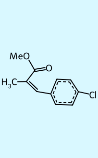 COC(=O)C(C)=Cc1ccc(Cl)cc1